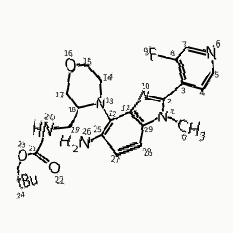 Cn1c(-c2ccncc2F)nc2c(N3CCOC[C@@H]3CNC(=O)OC(C)(C)C)c(N)ccc21